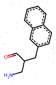 NCC(C=O)Cc1ccc2ccccc2c1